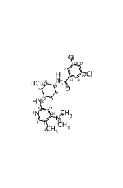 Cc1cnc(N[C@H]2CC[C@@H](NC(=O)c3cc(Cl)cc(Cl)c3)CC2)cc1N(C)C.Cl